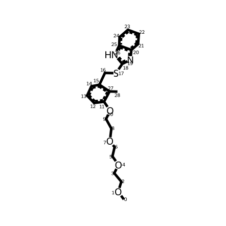 COCCOCCOCCOc1cccc(CSc2nc3ccccc3[nH]2)c1C